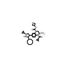 C[C@H]1CN(C(=O)OC2COC2)c2cc(C3CN(C4CC4)NC3C3CCCCCCC3)ccc2N1C(=O)C1CC1